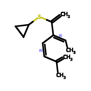 C=C(C)/C=C\C(=C/C)C(=C)SC1CC1